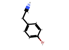 N#C[CH]c1ccc(Br)cc1